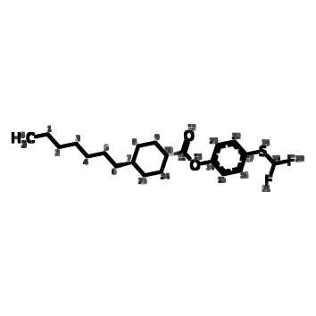 CCCCCCC[C@H]1CC[C@H](C(=O)Oc2ccc(SC(F)F)cc2)CC1